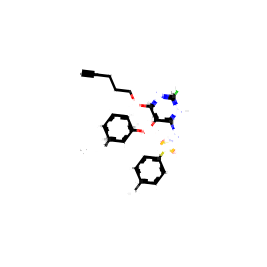 C#CCCCOc1nc(Cl)nc(NS(=O)(=O)c2ccc(C(C)(C)C)cc2)c1Oc1cccc(OC)c1